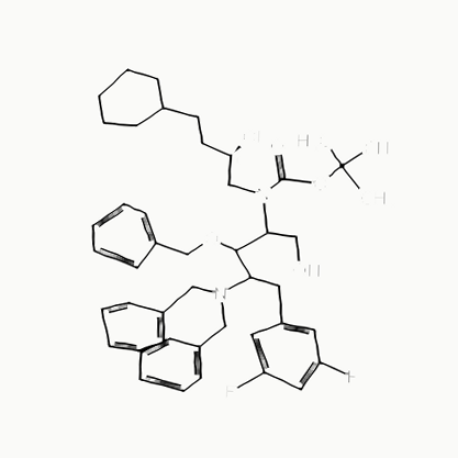 CC(C)(C)OC(=O)N(C[C@H](O)CCC1CCCCC1)C(CO)C(OCc1ccccc1)C(Cc1cc(F)cc(F)c1)N(Cc1ccccc1)Cc1ccccc1